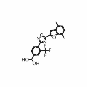 Cc1ccc(C)c2oc(-c3nc(-c4ccc(C(O)O)cc4C(F)(F)F)no3)cc12